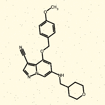 COc1ccc(COc2cc(NCC3CCOCC3)cn3ncc(C#N)c23)cc1